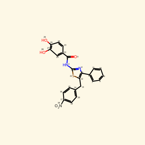 O=C(Nc1nc(-c2ccccc2)c(Cc2ccc([N+](=O)[O-])cc2)s1)c1ccc(O)c(O)c1